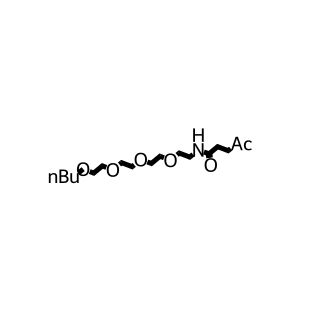 CCCCOCCOCCOCCOCCNC(=O)CCC(C)=O